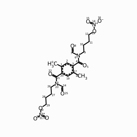 Cc1cc(C(=O)N(C=O)CCCCO[N+](=O)[O-])c(C)cc1C(=O)N(C=O)CCCCO[N+](=O)[O-]